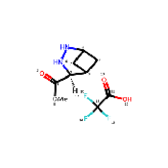 COC(=O)[C@H]1NNC2CC1C2.O=C(O)C(F)(F)F